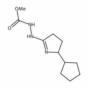 COC(=O)NNC1=NC(C2CCCC2)CC1